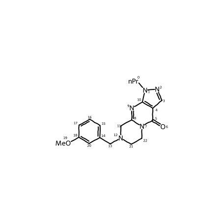 CCCn1ncc2c(=O)n3c(nc21)CN(Cc1cccc(OC)c1)CC3